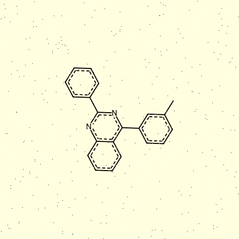 Cc1cccc(-c2nc(-c3ccccc3)nc3ccccc23)c1